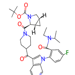 CCN(C(=O)c1cc(F)ccc1-n1cc(C(=O)C2CCN(C(=O)[C@@H]3[C@H]4C[C@H]4CN3C(=O)OC(C)(C)C)CC2)c2ccncc21)C(C)C